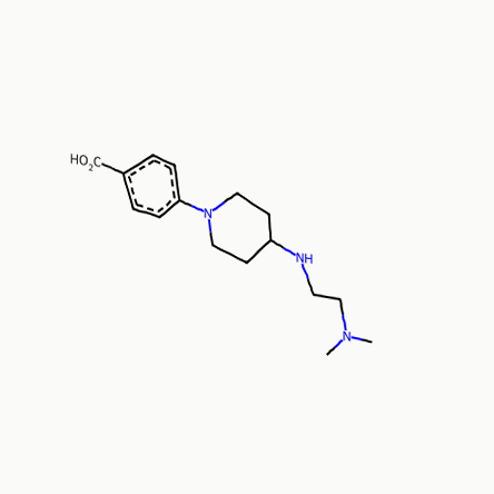 CN(C)CCNC1CCN(c2ccc(C(=O)O)cc2)CC1